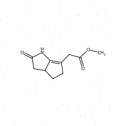 COC(=O)CC1=C2NC(=O)CC2CC1